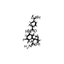 COC(=N)c1ccc(C(=O)Nc2cc(F)c(F)c([C@]3(C(F)F)N=C(N)O[C@H]4C[C@H]43)c2)nc1